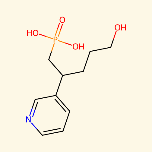 O=P(O)(O)CC(CCCO)c1cccnc1